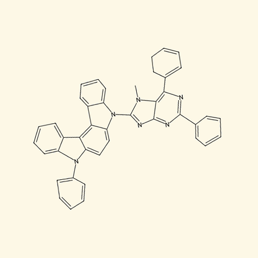 Cn1c(-n2c3ccccc3c3c4c5ccccc5n(-c5ccccc5)c4ccc32)nc2nc(-c3ccccc3)nc(C3=CC=CCC3)c21